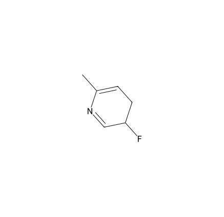 CC1=CCC(F)C=N1